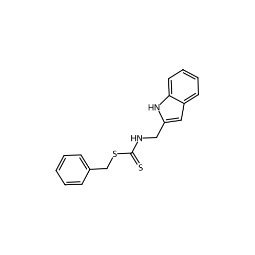 S=C(NCc1cc2ccccc2[nH]1)SCc1ccccc1